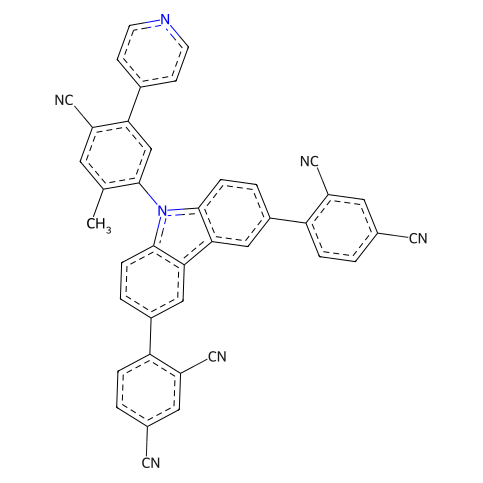 Cc1cc(C#N)c(-c2ccncc2)cc1-n1c2ccc(-c3ccc(C#N)cc3C#N)cc2c2cc(-c3ccc(C#N)cc3C#N)ccc21